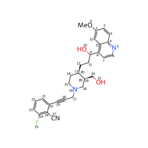 COc1ccc2nccc(C(O)CC[C@@H]3CCN(CC#Cc4cccc(F)c4C#N)C[C@@H]3CO)c2c1